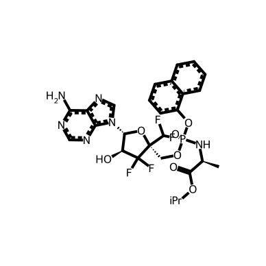 CC(C)OC(=O)[C@H](C)NP(=O)(OC[C@@]1(C(F)F)O[C@@H](n2cnc3c(N)ncnc32)[C@H](O)C1(F)F)Oc1cccc2ccccc12